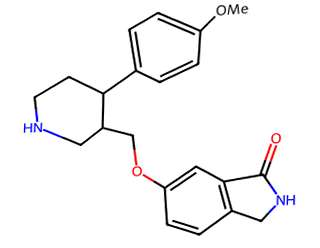 COc1ccc(C2CCNCC2COc2ccc3c(c2)C(=O)NC3)cc1